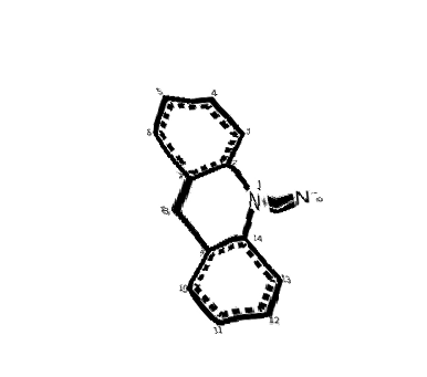 [N-]=[N+]1c2ccccc2Cc2ccccc21